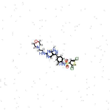 Cc1cc(-c2nn(C)c3nc(NCCN4CCOCC4)ncc23)ccc1NS(=O)(=O)C1C=C(Cl)SC1Cl